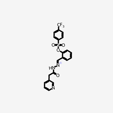 O=C(Cc1cccnc1)N/N=C/c1ccccc1OS(=O)(=O)c1ccc(C(F)(F)F)cc1